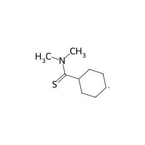 CN(C)C(=S)C1CC[CH]CC1